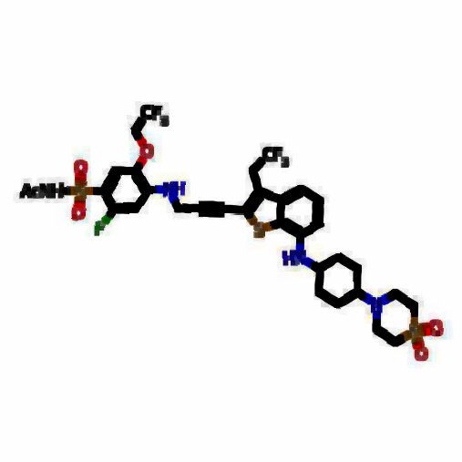 CC(=O)NS(=O)(=O)c1cc(OCC(F)(F)F)c(NCC#Cc2sc3c(NC4CCC(N5CCS(=O)(=O)CC5)CC4)cccc3c2CC(F)(F)F)cc1F